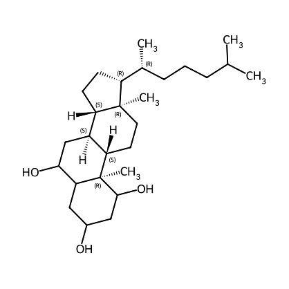 CC(C)CCC[C@@H](C)[C@H]1CC[C@H]2[C@@H]3CC(O)C4CC(O)CC(O)[C@]4(C)[C@H]3CC[C@]12C